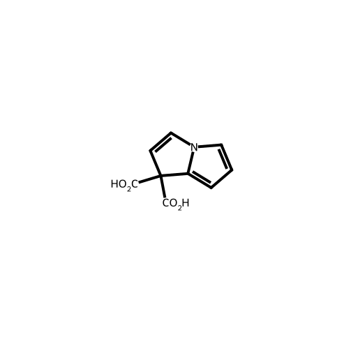 O=C(O)C1(C(=O)O)C=Cn2cccc21